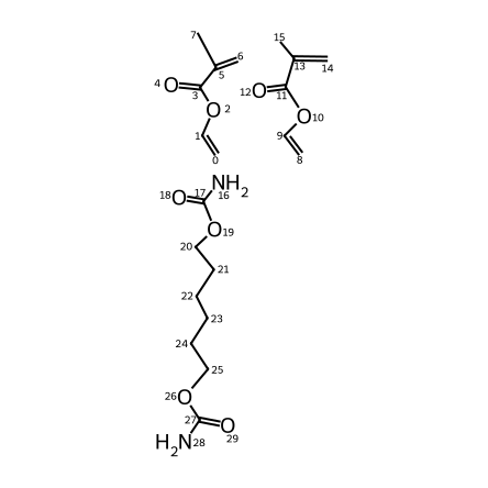 C=COC(=O)C(=C)C.C=COC(=O)C(=C)C.NC(=O)OCCCCCCOC(N)=O